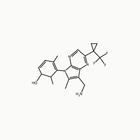 CC1=C(n2c(C)c(CN)c3nc(C4(C(F)(F)F)CC4)cnc32)C(C)C(O)C=C1